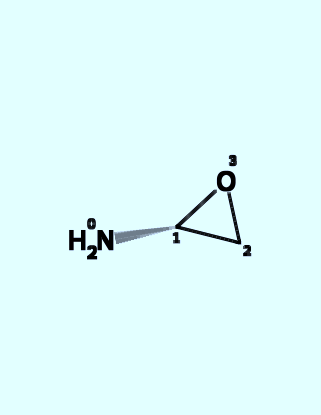 N[C@H]1CO1